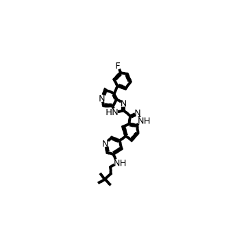 CC(C)(C)CCNc1cncc(-c2ccc3[nH]nc(-c4nc5c(-c6cccc(F)c6)cncc5[nH]4)c3c2)c1